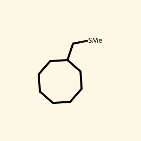 CSCC1CCCCCCC1